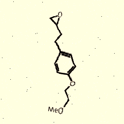 COCCOc1ccc(CCC2CO2)cc1